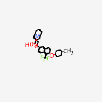 C[C@H]1CC[C@@H](Oc2ccc3cc(CCCN4C5CCCC4CC(C(=O)O)C5)ccc3c2C(F)(F)F)CC1